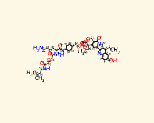 CCc1c2c(nc3ccc(O)cc13)-c1cc3c(c(=O)n1C2)COC(=O)[C@@]3(CC)OC(=O)OCc1ccc(NC(=O)[C@H](CCCCN)NC(=O)COCC(=O)NCCC(C)C)cc1